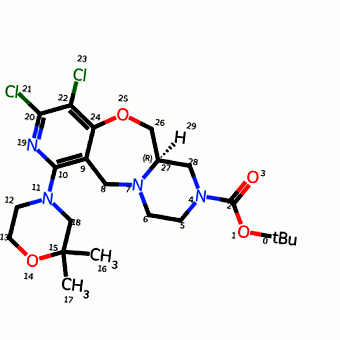 CC(C)(C)OC(=O)N1CCN2Cc3c(N4CCOC(C)(C)C4)nc(Cl)c(Cl)c3OC[C@H]2C1